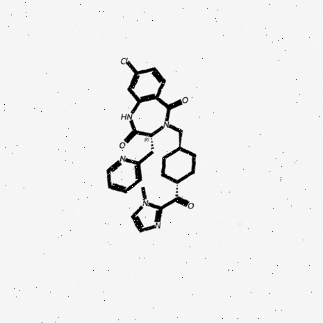 Cn1ccnc1C(=O)[C@H]1CC[C@H](CN2C(=O)c3ccc(Cl)cc3NC(=O)[C@H]2Cc2ccccn2)CC1